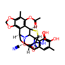 CC(=O)N[C@H]1CS[C@@H]2c3c(OC(C)=O)c(C)c4c(c3[C@H](COC1=O)N1C2[C@@H]2c3c(cc(C)c(O)c3O)C[C@H]([C@@H]1C#N)N2C)OCO4